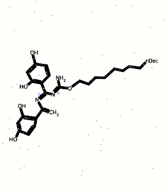 C=C(/N=C(\N=C(/N)OCCCCCCCCCCCCCCCCCC)c1ccc(O)cc1O)c1ccc(O)cc1O